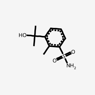 Cc1c(C(C)(C)O)cccc1S(N)(=O)=O